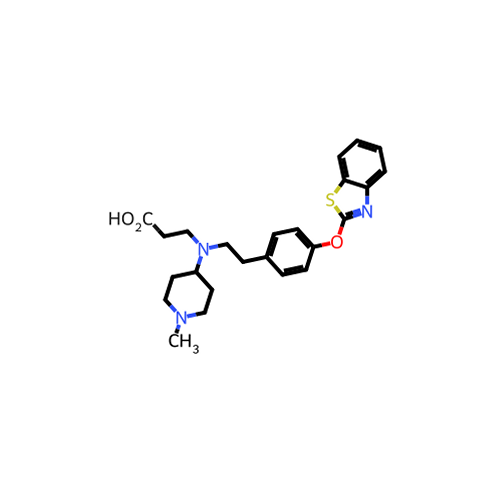 CN1CCC(N(CCC(=O)O)CCc2ccc(Oc3nc4ccccc4s3)cc2)CC1